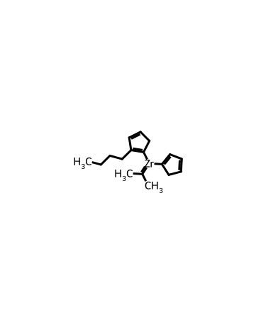 CCCCC1=[C]([Zr]([C]2=CC=CC2)=[C](C)C)CC=C1